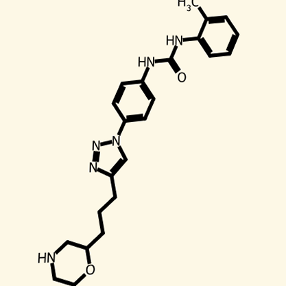 Cc1ccccc1NC(=O)Nc1ccc(-n2cc(CCCC3CNCCO3)nn2)cc1